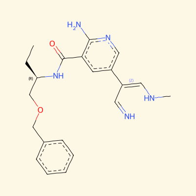 CC[C@H](COCc1ccccc1)NC(=O)c1cc(/C(C=N)=C/NC)cnc1N